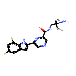 CC(C)(N)CNC(=O)c1cncc(-c2cc3cc(F)cc(F)c3[nH]2)n1